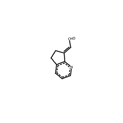 O=C/C=C1\CCc2cccnc21